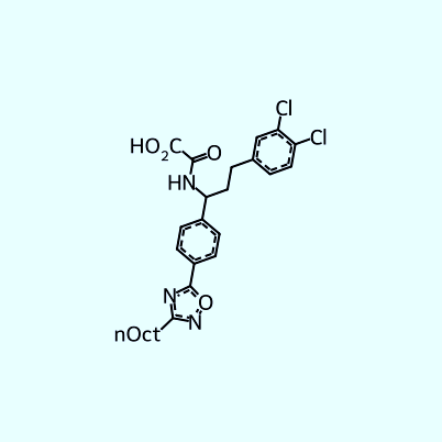 CCCCCCCCc1noc(-c2ccc(C(CCc3ccc(Cl)c(Cl)c3)NC(=O)C(=O)O)cc2)n1